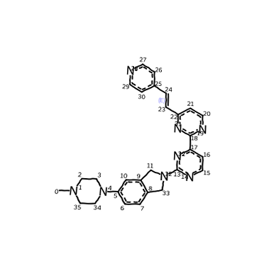 CN1CCN(c2ccc3c(c2)CN(c2nccc(-c4nccc(/C=C/c5ccncc5)n4)n2)C3)CC1